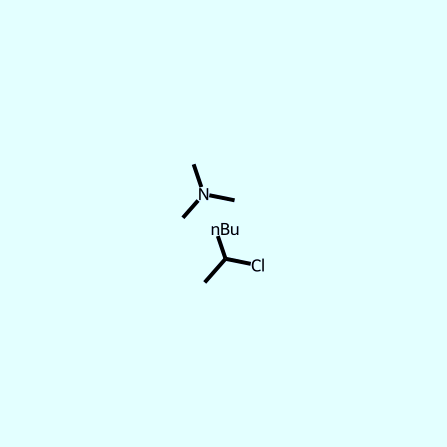 CCCCC(C)Cl.CN(C)C